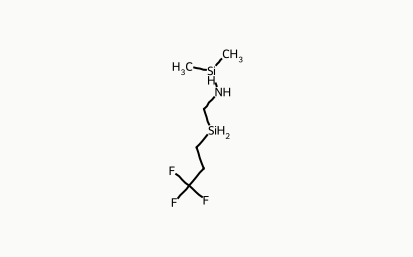 C[SiH](C)NC[SiH2]CCC(F)(F)F